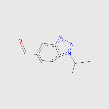 CC(C)n1nnc2cc(C=O)ccc21